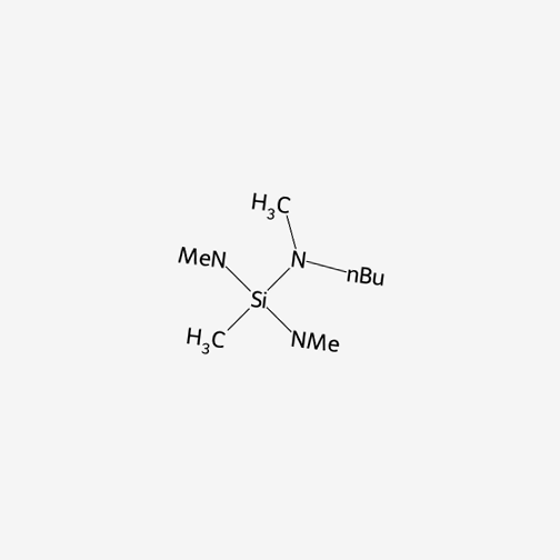 CCCCN(C)[Si](C)(NC)NC